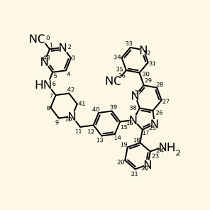 N#Cc1nccc(NC2CCN(Cc3ccc(-n4c(-c5cccnc5N)nc5ccc(-c6cnccc6C#N)nc54)cc3)CC2)n1